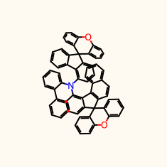 c1ccc(-c2ccccc2N(c2cccc3c2-c2ccccc2C32c3ccccc3Oc3ccccc32)c2cccc3c2-c2c(ccc4ccccc24)C32c3ccccc3Oc3ccccc32)cc1